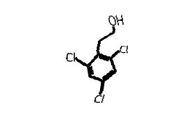 OCCc1c(Cl)cc(Cl)cc1Cl